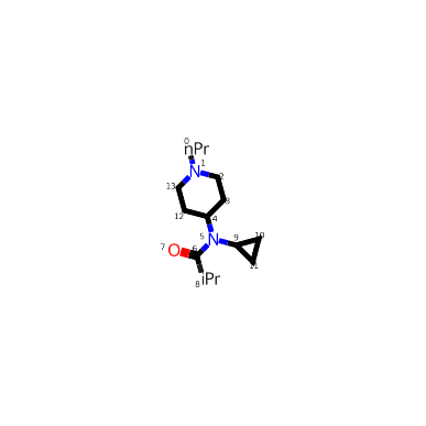 CCCN1CCC(N(C(=O)C(C)C)C2CC2)CC1